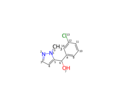 Cn1nccc1C(O)c1cccc(Cl)c1